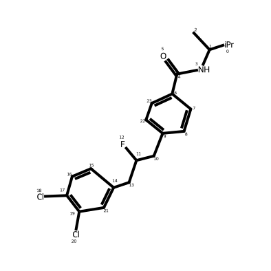 CC(C)C(C)NC(=O)c1ccc(CC(F)Cc2ccc(Cl)c(Cl)c2)cc1